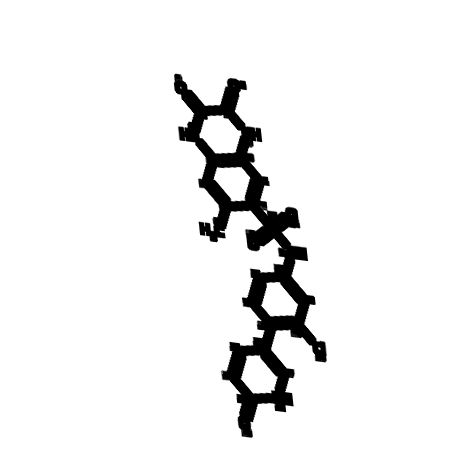 Cc1cc2[nH]c(=O)c(=O)[nH]c2cc1S(=O)(=O)Nc1ccc(-c2ccc(=O)[nH]c2)c(Cl)c1